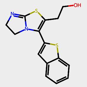 OCCC1=C(c2cc3ccccc3s2)N2CCN=C2S1